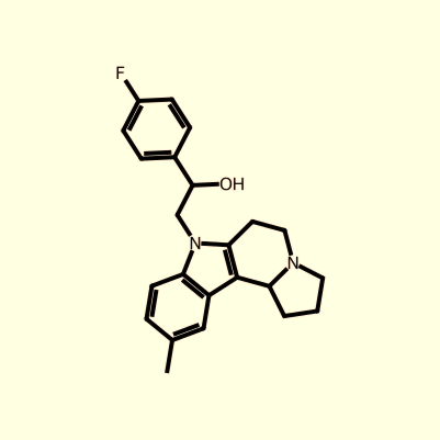 Cc1ccc2c(c1)c1c(n2CC(O)c2ccc(F)cc2)CCN2CCCC12